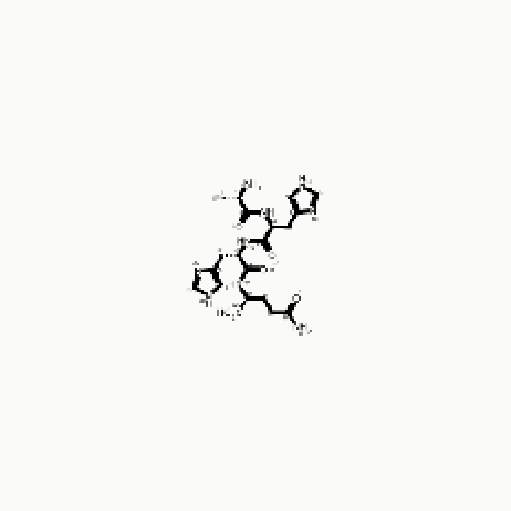 CC(C)[C@H](N)C(=O)N[C@@H](Cc1c[nH]cn1)C(=O)N[C@@H](Cc1c[nH]cn1)C(=O)N[C@@H](CCC(N)=O)C(=O)O